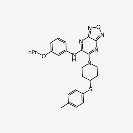 CCCOc1cccc(Nc2nc3nonc3nc2N2CCC(Sc3ccc(C)cc3)CC2)c1